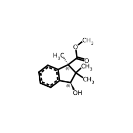 COC(=O)[C@]1(C)c2ccccc2[C@H](O)C1(C)C